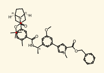 COc1cc(-c2cc(C(=O)OCc3ccccc3)n(C)c2)cc([C@@H](C)NC(=O)c2cc(N3C[C@H]4CC[C@@H](C3)N4C(=O)OC(C)(C)C)ccc2C)c1